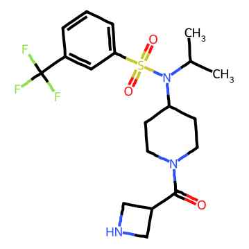 CC(C)N(C1CCN(C(=O)C2CNC2)CC1)S(=O)(=O)c1cccc(C(F)(F)F)c1